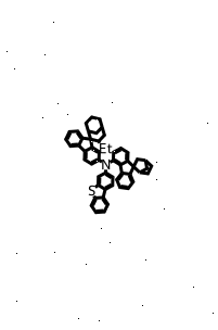 CCC1CC2CCCC(C2)C12c1ccccc1-c1ccc(N(c3ccc4c(c3)sc3ccccc34)c3cccc4c3-c3ccccc3C43CC4CCC3C4)cc12